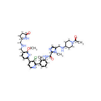 COc1nc(-c2ccnc(-c3cccc(NC(=O)c4ncc(CNC5CCN(C(C)=O)CC5)n4C)c3C)c2Cl)ccc1CNC[C@H]1CCC(=O)N1